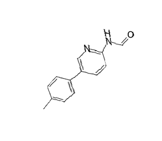 Cc1ccc(-c2ccc(NC=O)nc2)cc1